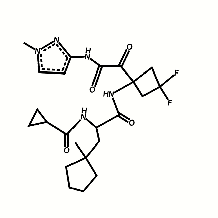 Cn1ccc(NC(=O)C(=O)C2(NC(=O)C(CC3(C)CCCC3)NC(=O)C3CC3)CC(F)(F)C2)n1